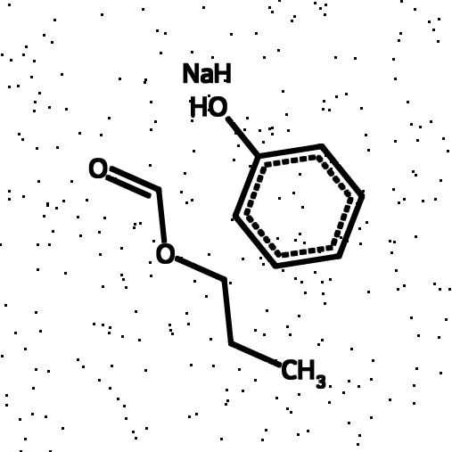 CCCOC=O.Oc1ccccc1.[NaH]